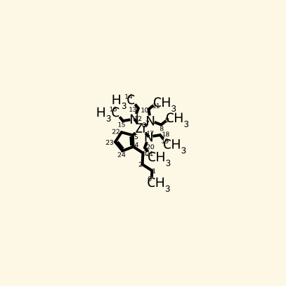 CCCCC1=[C]([Zr]([N](CC)CC)([N](CC)CC)[N](CC)CC)CC=C1